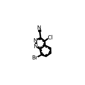 N#Cc1nnc2c(Br)cccc2c1Cl